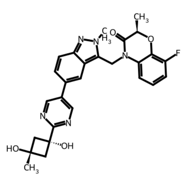 C[C@H]1Oc2c(F)cccc2N(Cc2c3cc(-c4cnc([C@]5(O)C[C@@](C)(O)C5)nc4)ccc3nn2C)C1=O